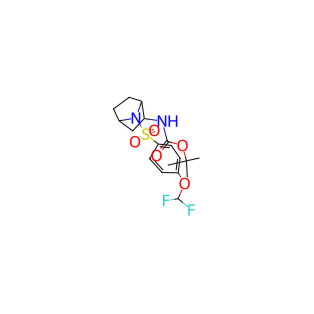 CC(C)(C)OC(=O)NC1CC2CCC1N2S(=O)(=O)c1ccc(OC(F)F)cc1